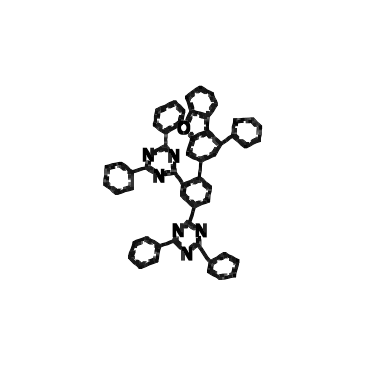 c1ccc(-c2nc(-c3ccccc3)nc(-c3ccc(-c4cc(-c5ccccc5)c5c(c4)oc4ccccc45)c(-c4nc(-c5ccccc5)nc(-c5ccccc5)n4)c3)n2)cc1